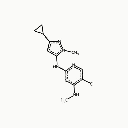 CNc1nc(Nc2cc(C3CC3)nn2C)ncc1Cl